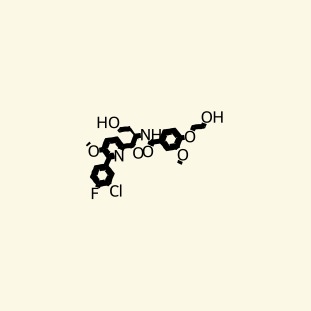 COc1cc(C(=O)N[C@H](CCO)C(=O)c2ccc(OC)c(-c3ccc(F)c(Cl)c3)n2)ccc1OCCO